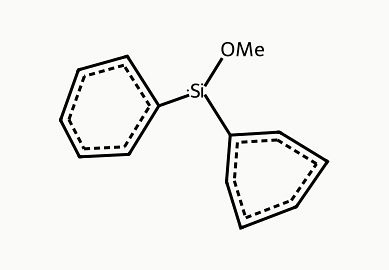 CO[Si](c1ccccc1)c1ccccc1